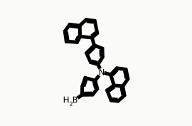 Bc1ccc(N(c2ccc(-c3cccc4ccccc34)cc2)c2cccc3ccccc23)cc1